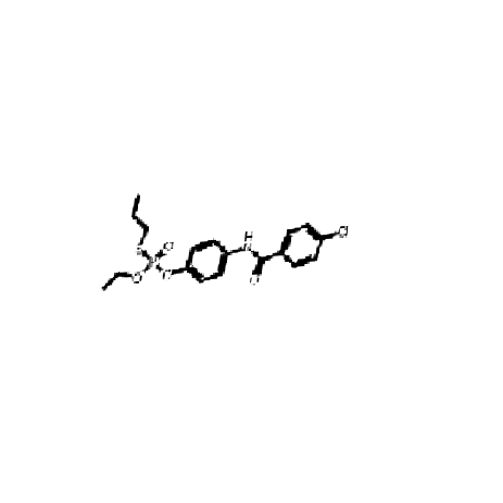 CCCSP(=O)(OCC)Oc1ccc(NC(=O)c2ccc(Cl)cc2)cc1